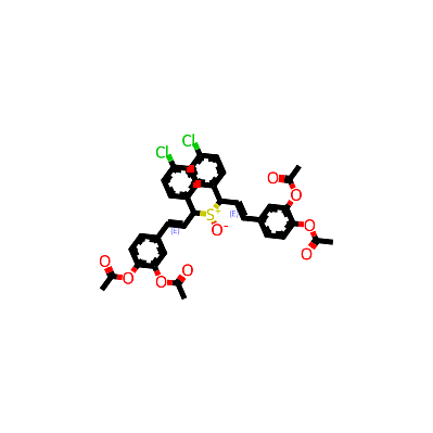 CC(=O)Oc1ccc(/C=C/C(c2ccc(Cl)cc2)[S+]([O-])C(/C=C/c2ccc(OC(C)=O)c(OC(C)=O)c2)c2ccc(Cl)cc2)cc1OC(C)=O